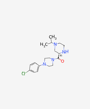 CC(C)N1CCN[C@@H](C(=O)N2CCN(c3ccc(Cl)cc3)CC2)C1